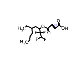 CCCCC(CC)CC(OC(=O)/C=C/C(=O)O)C(F)(F)C(F)F